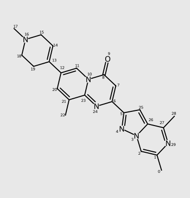 Cc1cn2nc(-c3cc(=O)n4cc(C5=CCN(C)CC5)cc(C)c4n3)cc2c(C)n1